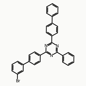 Brc1cccc(-c2ccc(-c3nc(-c4ccccc4)nc(-c4ccc(-c5ccccc5)cc4)n3)cc2)c1